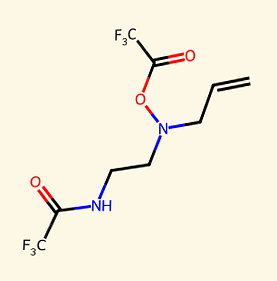 C=CCN(CCNC(=O)C(F)(F)F)OC(=O)C(F)(F)F